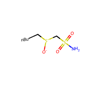 CCCCC[S+]([O-])CS(N)(=O)=O